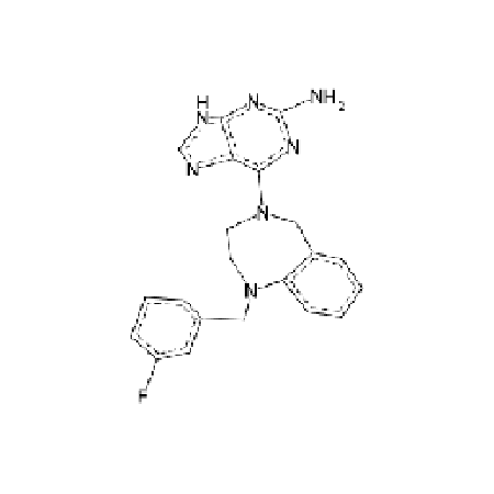 Nc1nc(N2CCN(Cc3cccc(F)c3)c3ccccc3C2)c2nc[nH]c2n1